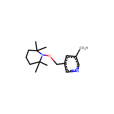 CC1(C)CCCC(C)(C)N1OCc1cncc(C(=O)O)c1